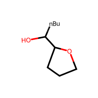 CCCCC(O)C1CCCO1